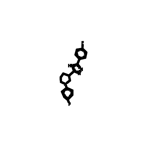 Fc1ccc(-c2nnc(C3CCCN(c4ccc(F)cc4)C3)[nH]2)cc1